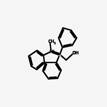 C[N+](c1ccccc1)=P(CO)(c1ccccc1)c1ccccc1